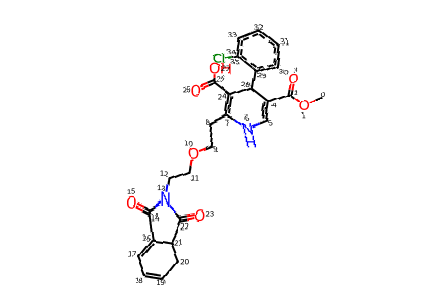 COC(=O)C1=CNC(CCOCCN2C(=O)C3=CC=CCC3C2=O)=C(C(=O)O)C1c1ccccc1Cl